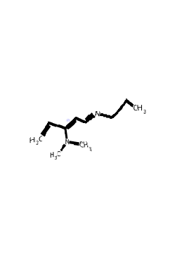 C=C/C(=C/C=NCCC)N(C)C